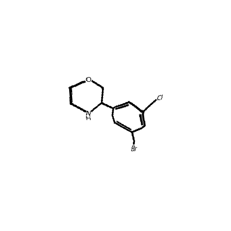 Clc1cc(Br)cc(C2COCCN2)c1